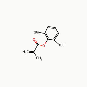 C=C(C)C(=O)Oc1c(C(C)(C)C)cccc1C(C)(C)C